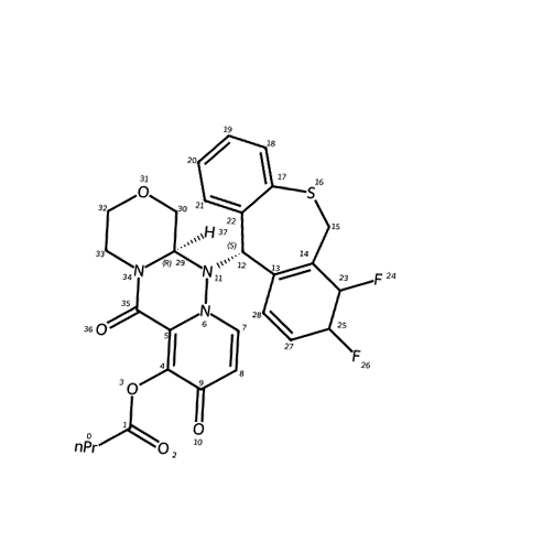 CCCC(=O)Oc1c2n(ccc1=O)N([C@H]1C3=C(CSc4ccccc41)C(F)C(F)C=C3)[C@@H]1COCCN1C2=O